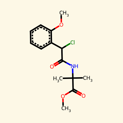 COC(=O)C(C)(C)NC(=O)C(Cl)c1ccccc1OC